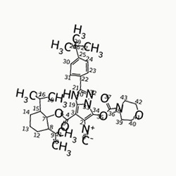 [C-]#[N+]c1c(C(=O)OC2C(C(C)C)CCCC2C(C)C)c2[nH]c(-c3ccc(C(C)(C)C)cc3)nn2c1OC(=O)N1CCOCC1